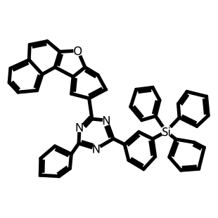 c1ccc(-c2nc(-c3cccc([Si](c4ccccc4)(c4ccccc4)c4ccccc4)c3)nc(-c3ccc4oc5ccc6ccccc6c5c4c3)n2)cc1